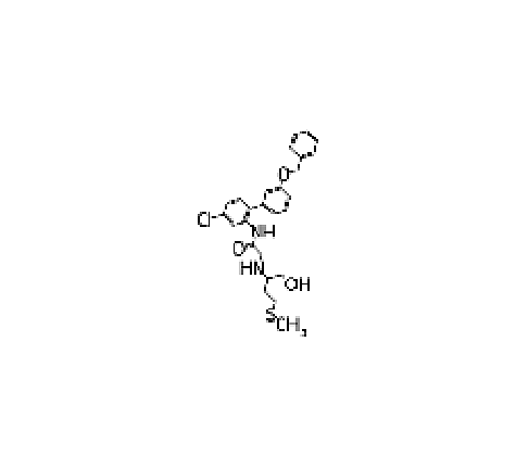 CSCCC(CO)NCC(=O)Nc1cc(Cl)ccc1-c1cccc(OCc2ccccc2)c1